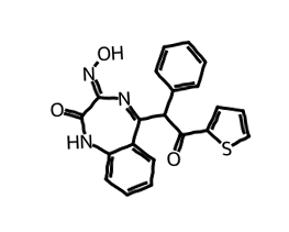 O=C(c1cccs1)C(c1ccccc1)c1nc(=NO)c(=O)[nH]c2ccccc12